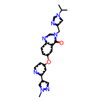 CC(C)n1cnc(Cn2cnc3ccc(Oc4ccnc(-c5cnn(C)c5)c4)cc3c2=O)c1